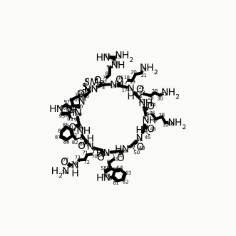 CSSC1NC(=O)[C@H](CCCNC(=N)N)NC(=O)[C@H](CCCCN)NC(=O)[C@H](CCCCN)NC(=O)[C@H](CCCCN)NC(=O)[C@H](C)NC(=O)[C@H](C)NC(=O)[C@H](CCc2c[nH]c3ccccc23)NC(=O)[C@H](CCCCNC(N)=O)NC(=O)[C@@H](Cc2ccccc2)NC(=O)[C@H](Cc2c[nH]cn2)N[C@@H]2CCCN2C1=O